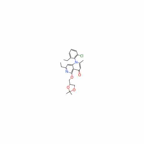 CCc1cc2c(c(OCC3COC(C)(C)O3)n1)c(=O)cc(C)n2-c1c(Cl)cccc1CC